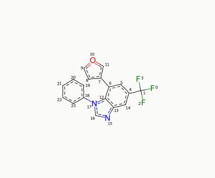 FC(F)(F)c1cc(-c2ccoc2)c2c(c1)ncn2-c1ccccc1